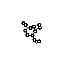 c1ccc(N(c2cccc(-c3cccc(-c4cc(-c5ccc6oc7ccccc7c6c5)cc(-c5ccc6c(c5)c5ccccc5n6-c5cccc6ccccc56)c4)c3)c2)c2ccc3ccccc3c2)cc1